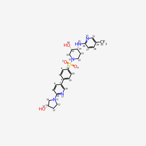 O=S(=O)(c1ccc(-c2ccc(N3CC[C@H](O)C3)nc2)cc1)N1CC[C@@H](Nc2ccc(C(F)(F)F)cn2)[C@@H](O)C1